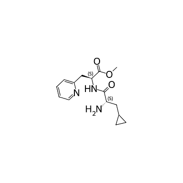 COC(=O)[C@H](Cc1ccccn1)NC(=O)[C@@H](N)CC1CC1